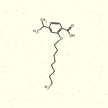 CCCCCCCCCOc1cc(C(C)C)ccc1C(=O)O